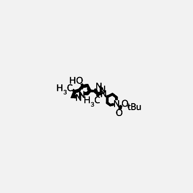 Cc1cnn2cc(-c3nnn(C4CCN(C(=O)OC(C)(C)C)CC4)c3C)cc(O)c12